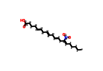 CCCCCC=C(CC=CCC=CCC=CCCCC(=O)O)[N+](=O)[O-]